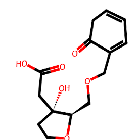 O=C(O)C[C@]1(O)CCO[C@@H]1COCC1=CC=CCC1=O